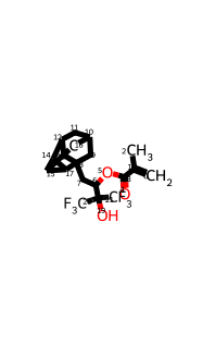 C=C(C)C(=O)OC(CC12CC3CC(C1)C1C(C3)C12)C(O)(C(F)(F)F)C(F)(F)F